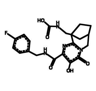 O=C(O)NCC12CCC(Cn3c1nc(C(=O)NCc1ccc(F)cc1)c(O)c3=O)C2